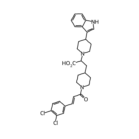 O=C(O)C(CC1CCN(C(=O)C=Cc2ccc(Cl)c(Cl)c2)CC1)N1CCC(c2c[nH]c3ccccc23)CC1